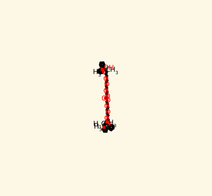 CC(C)(CCCOCCOCCOCCOC(=O)OCCOCCOCCOCCO[Si](c1ccccc1)(c1ccccc1)C(C)(C)C)[Si](O)(c1ccccc1)c1ccccc1